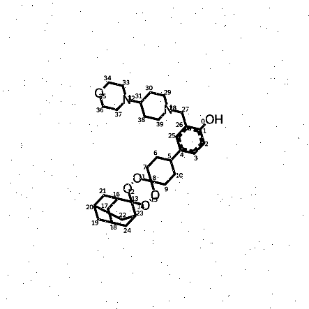 Oc1ccc(C2CCC3(CC2)OOC2(OO3)C3CC4CC(C3)CC2C4)cc1CN1CCC(N2CCOCC2)CC1